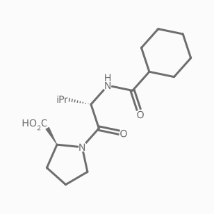 CC(C)[C@H](NC(=O)C1CCCCC1)C(=O)N1CCC[C@H]1C(=O)O